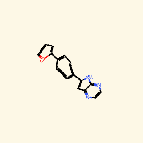 c1coc(-c2ccc(-c3cc4nccnc4[nH]3)cc2)c1